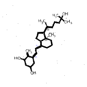 C=C1/C(=C\C=C2/CCC[C@@]3(C)C2CCC3[C@@H](C)CCCC(C)(C)O)CC(O)CC1O